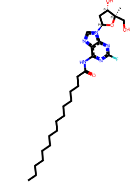 CCCCCCCCCCCCCCCC(=O)Nc1nc(F)nc2c1ncn2[C@H]1C[C@H](O)[C@@](C)(CO)O1